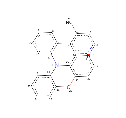 N#Cc1ccncc1-c1ccccc1N1c2ccccc2Oc2ccccc21